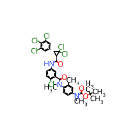 Cc1cc(N(C)C(=O)OC(C)(C)C)ccc1N(C)C(=O)c1cc(NC(=O)[C@H]2[C@H](c3cc(Cl)c(Cl)c(Cl)c3)C2(Cl)Cl)ccc1Cl